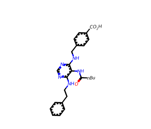 CCCCC(=O)Nc1c(NCCc2ccccc2)ncnc1NCc1ccc(C(=O)O)cc1